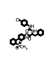 CS(=O)(=O)c1ccccc1-c1ccc(NC(=O)C(Cc2ccccc2)NC(=O)Nc2ccc(Cl)cc2)cc1